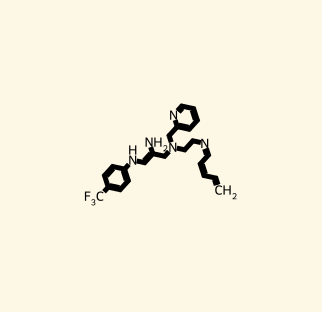 C=C/C=C\C=N/CCN(C/C(N)=C/Nc1ccc(C(F)(F)F)cc1)Cc1ccccn1